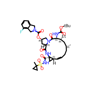 CC[C@@H]1C[C@H](C)CCC=C[C@@H]2C[C@@]2(C(=O)NS(=O)(=O)C2(C)CC2)NC(=O)[C@@H]2C[C@@H](OC(=O)N3Cc4cccc(F)c4C3)CN2C(=O)[C@H]1NC(=O)OC(C)(C)C